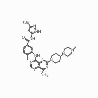 Cc1ccc(C(=O)Nc2cc(C(C)(C)C)n[nH]2)cc1Nc1ncnc2c(N)nc(N3CCC(N4CCN(C)CC4)CC3)nc12